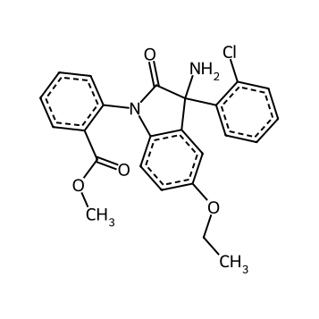 CCOc1ccc2c(c1)C(N)(c1ccccc1Cl)C(=O)N2c1ccccc1C(=O)OC